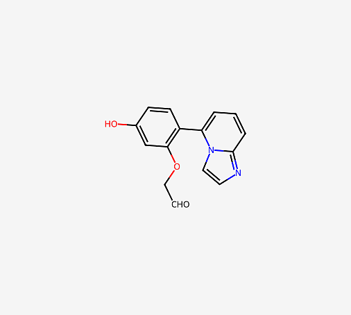 O=CCOc1cc(O)ccc1-c1cccc2nccn12